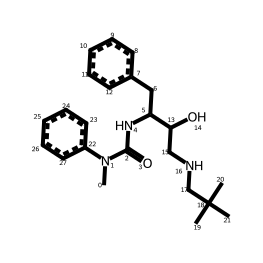 CN(C(=O)NC(Cc1ccccc1)C(O)CNCC(C)(C)C)c1ccccc1